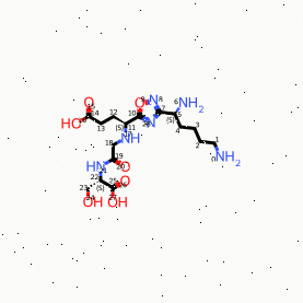 NCCCC[C@H](N)c1noc([C@H](CCC(=O)O)NCC(=O)N[C@@H](CO)C(=O)O)n1